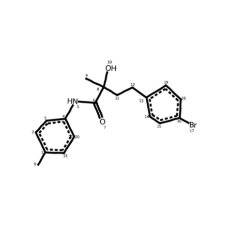 Cc1ccc(NC(=O)C(C)(O)CCc2ccc(Br)cc2)cc1